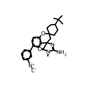 [C-]#[N+]c1cccc(-c2ccc3c(c2)C2(CC4(CCC(C(C)(C)C)CC4)O3)N=C(N)N(C)C2=O)c1